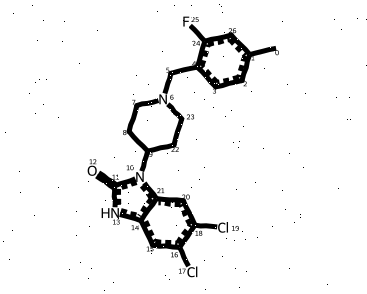 Cc1ccc(CN2CCC(n3c(=O)[nH]c4cc(Cl)c(Cl)cc43)CC2)c(F)c1